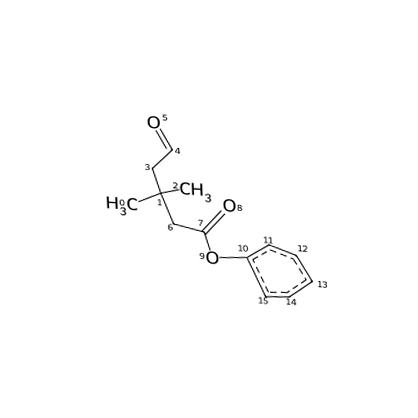 CC(C)(CC=O)CC(=O)Oc1ccccc1